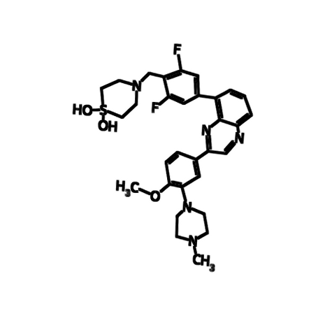 COc1ccc(-c2cnc3cccc(-c4cc(F)c(CN5CCS(O)(O)CC5)c(F)c4)c3n2)cc1N1CCN(C)CC1